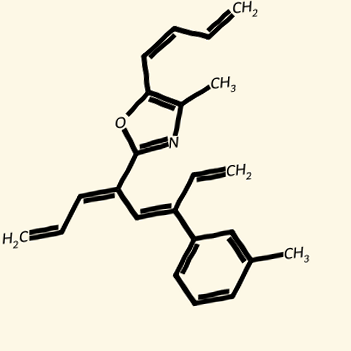 C=C/C=C\c1oc(C(/C=C(\C=C)c2cccc(C)c2)=C/C=C)nc1C